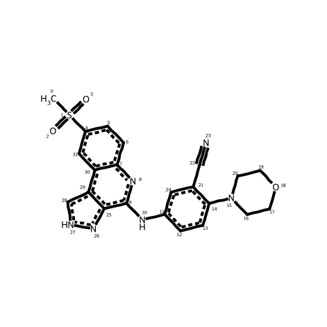 CS(=O)(=O)c1ccc2nc(Nc3ccc(N4CCOCC4)c(C#N)c3)c3n[nH]cc3c2c1